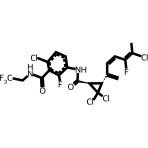 C=C(/C=C\C(F)=C(/C)Cl)[C@H]1[C@H](C(=O)Nc2ccc(Cl)c(C(=O)NCC(F)(F)F)c2F)C1(Cl)Cl